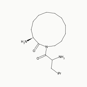 CC(C)CC(N)C(=O)N1CCCCCCCCCC[C@H](N)C1=O